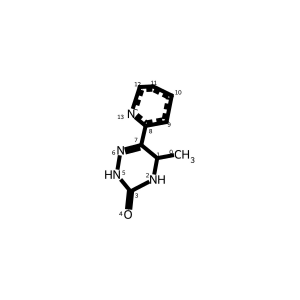 CC1NC(=O)NN=C1c1ccccn1